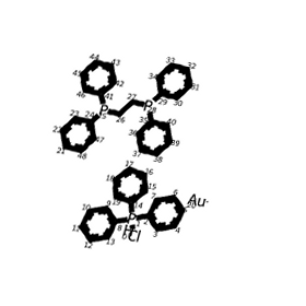 Cl[PH](c1ccccc1)(c1ccccc1)c1ccccc1.[Au].c1ccc(P(CCP(c2ccccc2)c2ccccc2)c2ccccc2)cc1